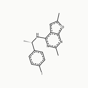 Cc1nc(N[C@@H](C)c2ccc(I)cc2)c2cc(C)oc2n1